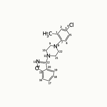 Cc1cc(Cl)ccc1N1CCN(c2noc3ccccc23)CC1